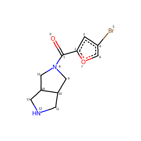 O=C(c1cc(Br)co1)N1CC2CNCC2C1